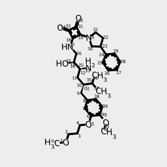 COCCCOc1cc(C[C@@H](C[C@H](N)[C@@H](O)CNc2c(N3CCC(c4ccccc4)C3)c(=O)c2=O)C(C)C)ccc1OC